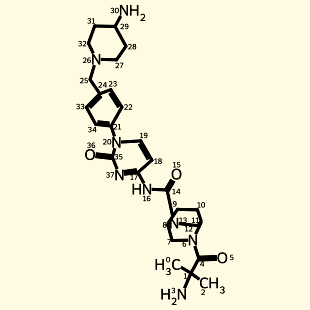 CC(C)(N)C(=O)N1CC2CCC1CN2C(=O)Nc1ccn(-c2ccc(CN3CCC(N)CC3)cc2)c(=O)n1